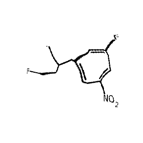 [CH2]C(CF)c1cc(F)cc([N+](=O)[O-])c1